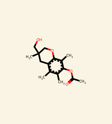 CC(=O)Oc1c(C)c(C)c2c(c1C)OCC(C)(CO)C2